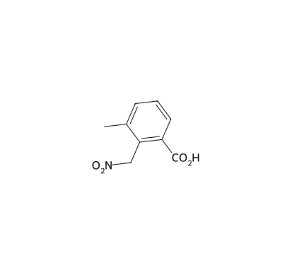 Cc1cccc(C(=O)O)c1C[N+](=O)[O-]